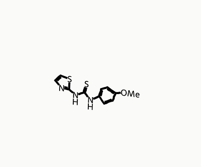 COc1ccc(NC(=S)Nc2nccs2)cc1